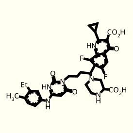 CCc1cc(Nc2cc(=O)n(CCCC(c3c(F)cc4c(=O)c(C(=O)O)c(C5CC5)[nH]c4c3F)N3CCNC(C(=O)O)C3)c(=O)[nH]2)ccc1C